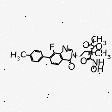 Cc1ccc(-c2ccc3c(=O)n(CC[C@](C)(C(=O)NO)S(C)(=O)=O)cnc3c2F)cc1